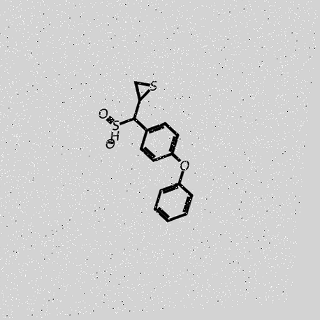 O=[SH](=O)C(c1ccc(Oc2ccccc2)cc1)C1CS1